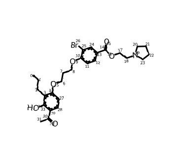 CCCc1c(OCCCOc2ccc(C(=O)OCCN3CCCC3)cc2Br)ccc(C(C)=O)c1O